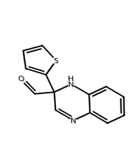 O=CC1(c2cccs2)C=Nc2ccccc2N1